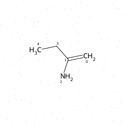 C=C(N)CC